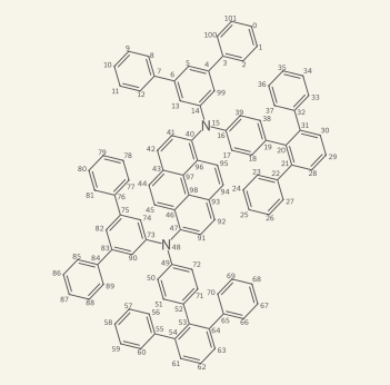 c1ccc(-c2cc(-c3ccccc3)cc(N(c3ccc(-c4c(-c5ccccc5)cccc4-c4ccccc4)cc3)c3ccc4ccc5c(N(c6ccc(-c7c(-c8ccccc8)cccc7-c7ccccc7)cc6)c6cc(-c7ccccc7)cc(-c7ccccc7)c6)ccc6ccc3c4c65)c2)cc1